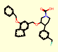 O=C(O)N1CCC(c2cccc(CF)c2)C(OCc2cc(OCc3ccccc3)c3ccccc3c2)C1